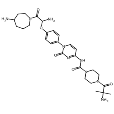 CC(C)(N)C(=O)N1CCN(C(=O)Nc2ccn(-c3ccc(OC(N)C(=O)N4CCCC(N)CC4)cc3)c(=O)n2)CC1